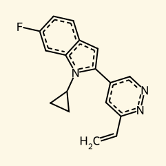 C=Cc1cc(-c2cc3ccc(F)cc3n2C2CC2)cnn1